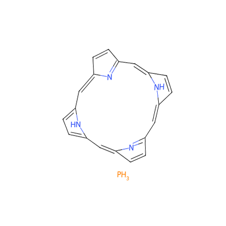 C1=Cc2cc3ccc(cc4nc(cc5ccc(cc1n2)[nH]5)C=C4)[nH]3.P